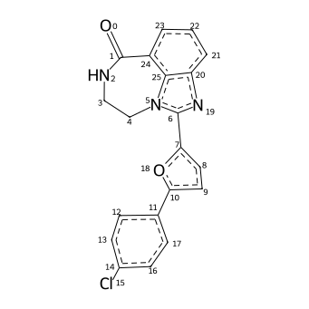 O=C1NCCn2c(-c3ccc(-c4ccc(Cl)cc4)o3)nc3cccc1c32